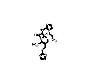 C=CCn1ccnc1NC1C(=O)N2C(C(=O)O)=C(CSc3nncs3)CS[C@H]12